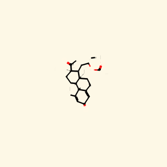 CC[C@H](OC(C)=O)[C@H]1CC(=O)[C@@]2(C)CC[C@H]3[C@@H](CCC4=CC(=O)C=C(C)[C@@]43C)[C@H]12